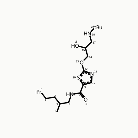 CC(C)CCC(C)CNC(=O)c1cnc(OCC(O)CNC(C)(C)C)s1